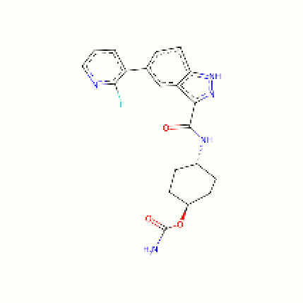 NC(=O)O[C@H]1CC[C@H](NC(=O)c2n[nH]c3ccc(-c4cccnc4F)cc23)CC1